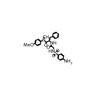 COc1ccc(N(C)C(=O)C(Cc2ccccc2)NC(=O)CNS(=O)(=O)c2ccc(N)cc2)cc1